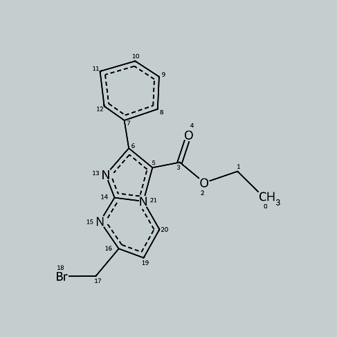 CCOC(=O)c1c(-c2ccccc2)nc2nc(CBr)ccn12